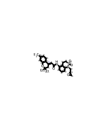 CCC1(CC)C/C(=C\C(=O)Nc2cccc3c2CCS(=O)(=O)N3CC2CO2)c2ccc(C(F)(F)F)cc2O1